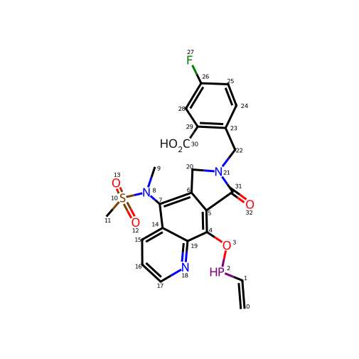 C=CPOc1c2c(c(N(C)S(C)(=O)=O)c3cccnc13)CN(Cc1ccc(F)cc1C(=O)O)C2=O